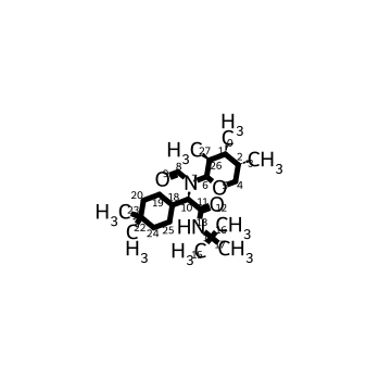 C[C@@H]1[C@H](C)COC(N(C=O)[C@H](C(=O)NC(C)(C)C)C2CCC(C)(C)CC2)[C@H]1C